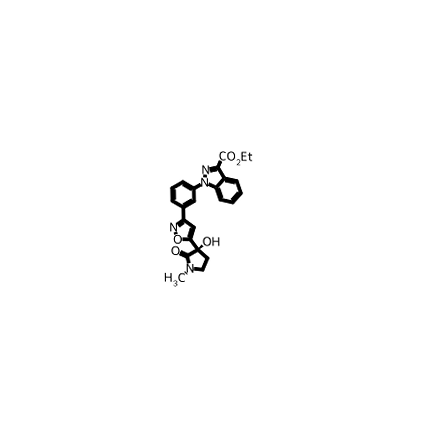 CCOC(=O)c1nn(-c2cccc(-c3cc([C@]4(O)CCN(C)C4=O)on3)c2)c2ccccc12